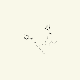 CCCCN(CCOC(=O)n1ccnc1)SSN(CCCC)CCOC(=O)n1ccnc1